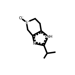 CC(C)c1nc2c([nH]1)CC[S+]([O-])C2